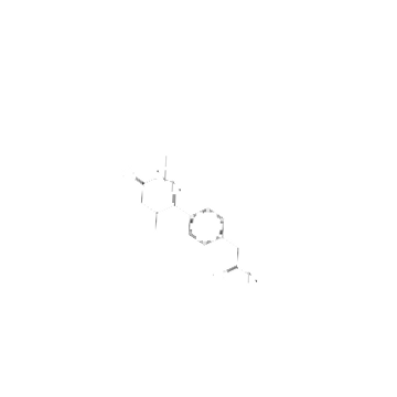 CC1CC(=O)NN=C1c1ccc(CC([NH])=O)cc1